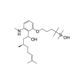 CNc1cccc(OCCCC(C)(C)[Si](C)(C)O)c1C(O)C[C@H](C)CCC=C(C)C